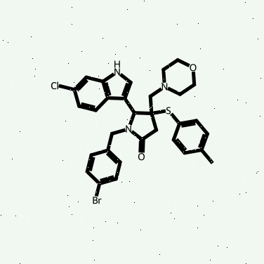 Cc1ccc(SC2(CN3CCOCC3)CC(=O)N(Cc3ccc(Br)cc3)C2c2c[nH]c3cc(Cl)ccc23)cc1